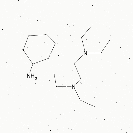 CCN(CC)CCN(CC)CC.NC1CCCCC1